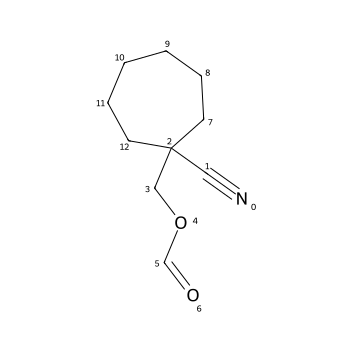 N#CC1(COC=O)CCCCCC1